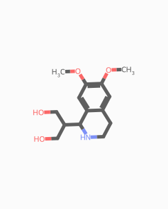 COc1cc2c(cc1OC)C(C(CO)CO)NCC2